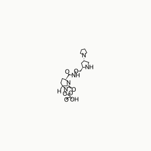 O=C(NOC[C@H]1C[C@H](N2CCCC2)CN1)[C@@H]1CC[C@@H]2CN1C(=O)N2OS(=O)(=O)O